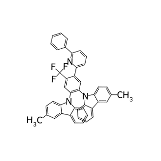 Cc1ccc2c(c1)c1ccccc1n2-c1cc(-c2cccc(-c3ccccc3)n2)c(C(F)(F)F)cc1-n1c2ccccc2c2cc(C)ccc21